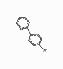 Brc1ccc(-c2[c]cccn2)cc1